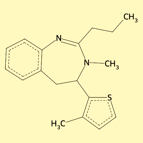 CCCC1=Nc2ccccc2CC(c2sccc2C)N1C